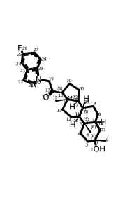 C[C@@]1(O)CC[C@@]2(C)[C@H](CC[C@@H]3[C@@H]2CC[C@]2(C)[C@@H](C(=O)Cn4ncc5cc(F)ccc54)CC[C@@H]32)C1